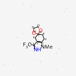 CNC1=C(C(=N)C(F)(F)F)CC2(CC1)OCCO2